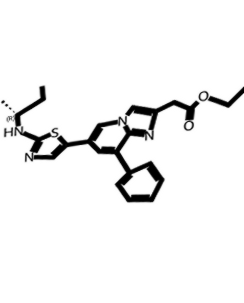 CCOC(=O)Cc1cn2cc(-c3cnc(N[C@H](C)CC)s3)cc(-c3ccccc3)c2n1